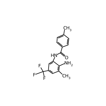 Cc1ccc(C(=O)Nc2cc(C(F)(F)F)cc(C)c2N)cc1